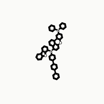 c1ccc(-c2ccc(-c3ccc(N(c4ccc5c6c(cccc46)-c4cc(N(c6ccccc6)c6ccccc6)ccc4O5)c4cccc5c4oc4ccccc45)cc3)cc2)cc1